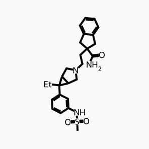 CCC1(c2cccc(NS(C)(=O)=O)c2)C2CN(CCC3(C(N)=O)Cc4ccccc4C3)CC21